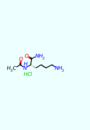 CC(=O)N[C@@H](CCCCN)C(N)=O.Cl